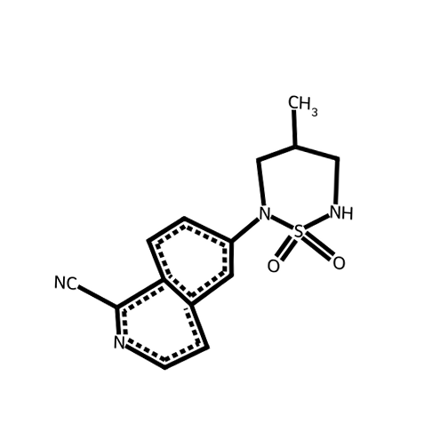 CC1CNS(=O)(=O)N(c2ccc3c(C#N)nccc3c2)C1